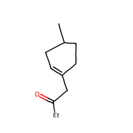 CCC(=O)CC1=CCC(C)CC1